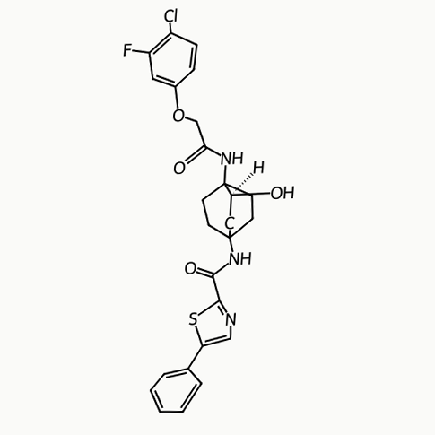 O=C(COc1ccc(Cl)c(F)c1)NC12CCC(NC(=O)c3ncc(-c4ccccc4)s3)(CC1)C[C@@H]2O